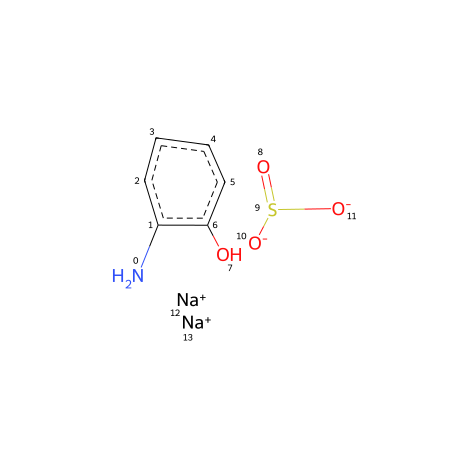 Nc1ccccc1O.O=S([O-])[O-].[Na+].[Na+]